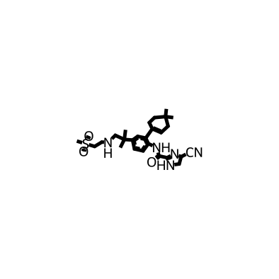 CC1(C)CC=C(c2cc(C(C)(C)CNCCS(C)(=O)=O)ccc2NC(=O)C2=NC(C#N)CN2)CC1